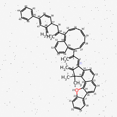 C=C(/C=C1\C(=C)C(C)(C)c2c1ccc1ccc3c4ccccc4oc3c21)c1ccccccc(C(=C)CC2C=CC(c3ccccc3)=CC2=C)c2ccccc12